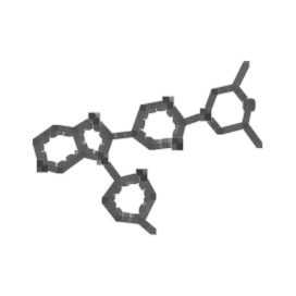 Cc1ccc(-n2c(-c3cnc(N4CC(C)OC(C)C4)nc3)nc3ccncc32)nc1